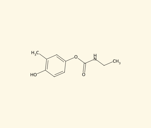 CCNC(=O)Oc1ccc(O)c(C)c1